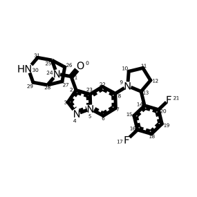 O=C(c1cnn2ccc(N3CCCC3c3cc(F)ccc3F)cc12)N1C2CCC1CNC2